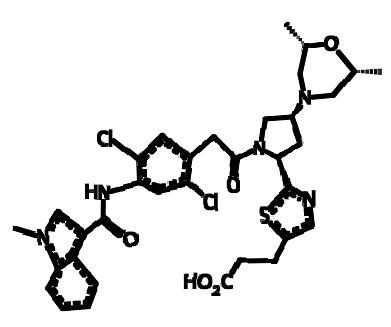 C[C@@H]1CN([C@H]2C[C@@H](c3ncc(CCC(=O)O)s3)N(C(=O)Cc3cc(Cl)c(NC(=O)c4cn(C)c5ccccc45)cc3Cl)C2)C[C@H](C)O1